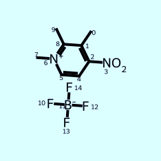 Cc1c([N+](=O)[O-])cc[n+](C)c1C.F[B-](F)(F)F